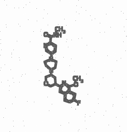 CNC(=O)c1ccc(N2CCN(C3COCC(c4cc5ccc(F)cc5c(OC)n4)C3)CC2)cn1